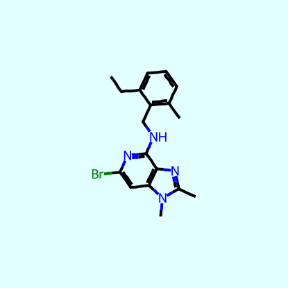 CCc1cccc(C)c1CNc1nc(Br)cc2c1nc(C)n2C